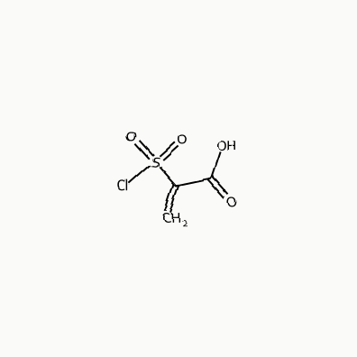 C=C(C(=O)O)S(=O)(=O)Cl